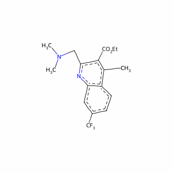 CCOC(=O)c1c(CN(C)C)nc2cc(C(F)(F)F)ccc2c1C